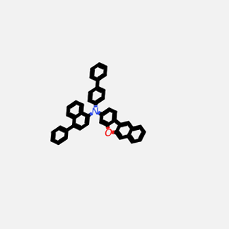 c1ccc(-c2ccc(N(c3ccc4c(c3)oc3cc5ccccc5cc34)c3ccc(-c4ccccc4)c4ccccc34)cc2)cc1